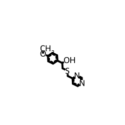 COc1ccc(C(O)CSCc2ccncn2)cc1